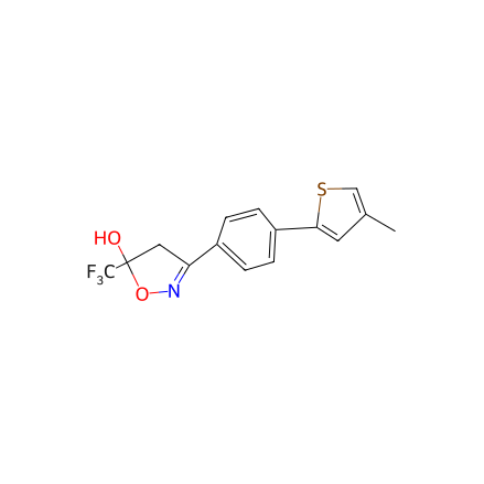 Cc1csc(-c2ccc(C3=NOC(O)(C(F)(F)F)C3)cc2)c1